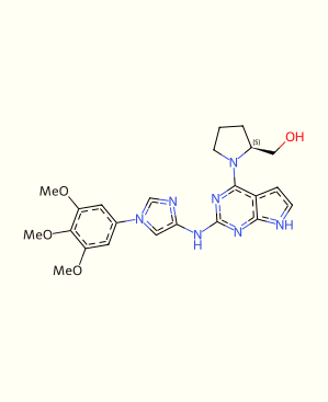 COc1cc(-n2cnc(Nc3nc(N4CCC[C@H]4CO)c4cc[nH]c4n3)c2)cc(OC)c1OC